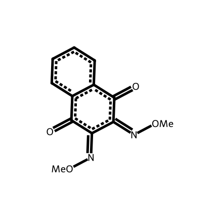 CON=c1c(=NOC)c(=O)c2ccccc2c1=O